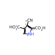 N#Cc1c(C(=O)O)c[nH]c1C(=O)O